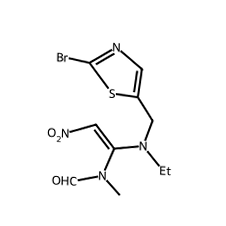 CCN(Cc1cnc(Br)s1)C(=C[N+](=O)[O-])N(C)C=O